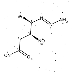 CC(C)[C@@H](N=NN)[C@H](CC(=O)N=O)N=O